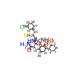 CC(=O)NS(=O)(=O)c1ccccc1-c1ccc(CC(C(N)=O)C(=O)NC[C@@H](S)Cc2cccc(Cl)c2)c(F)c1